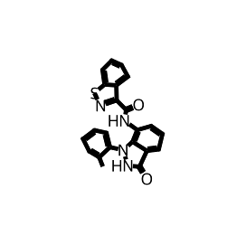 Cc1ccccc1-n1[nH]c(=O)c2cccc(NC(=O)c3nsc4ccccc34)c21